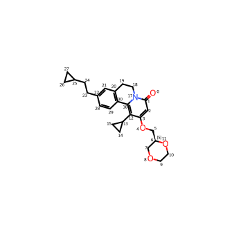 O=c1cc(OC[C@@H]2COCCO2)c(C2CC2)c2n1CCc1cc(CCC3CC3)ccc1-2